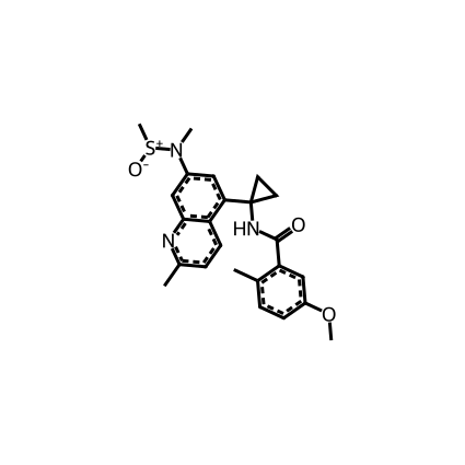 COc1ccc(C)c(C(=O)NC2(c3cc(N(C)[S+](C)[O-])cc4nc(C)ccc34)CC2)c1